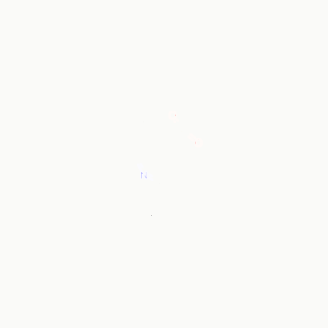 CC(C)(C)c1cnc2c(C(C)(C)C)cccc2c1S(C)(=O)=O